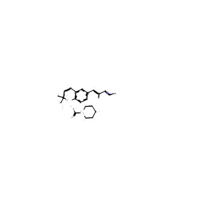 CCC(/C=C/C(=O)O)=C\c1ccc2c(c1)C=CC(C)(C)O2.NC(=O)N1CCCCC1